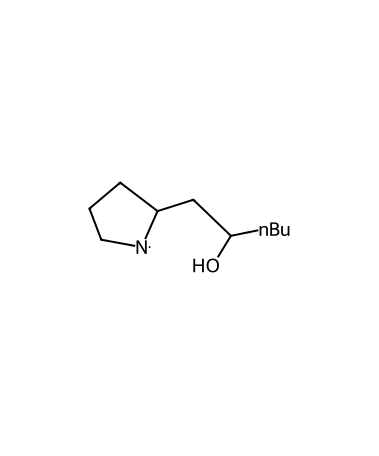 CCCCC(O)CC1CCC[N]1